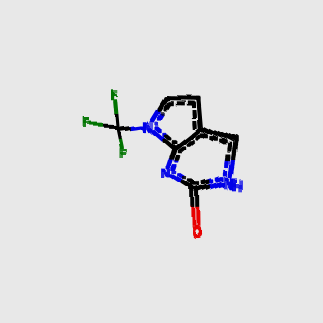 O=c1nc2c(ccn2C(F)(F)F)c[nH]1